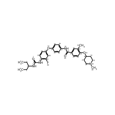 CCC(CC)NC(=O)Nc1ccc(Oc2ccc(NC(=O)c3ccc(OC4CCN(C)CC4)c(C)c3)cc2)cc1F